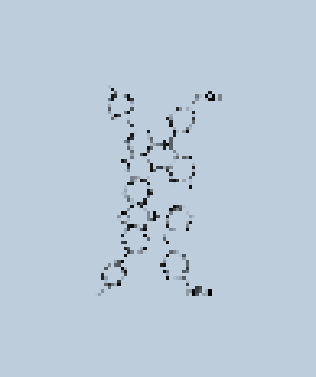 CCCCc1ccc(N2c3ccccc3B3c4cc5c(cc4Oc4cc(-c6ccc(C)cc6)cc2c43)Oc2cc(-c3ccc(C)cc3)cc3c2B5c2cc(C)ccc2N3c2ccc(CCCC)cc2)cc1